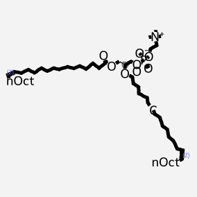 CCCCCCCC/C=C\CCCCCCCCCCCCCC(=O)OC[C@H](COP(=O)([O-])OCC[N+](C)(C)C)OC(=O)CCCCCCCCCCCCC/C=C\CCCCCCCC